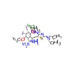 CCN(CC)C1=NC(=N)C(=C2NC(N)c3c(OC)c(I)c(I)c(OC)c32)S1.Cl